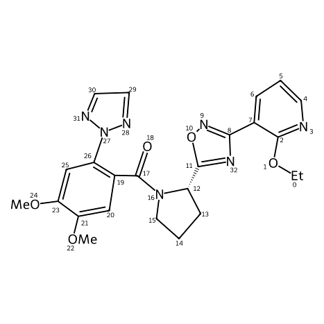 CCOc1ncccc1-c1noc([C@@H]2CCCN2C(=O)c2cc(OC)c(OC)cc2-n2nccn2)n1